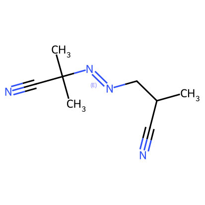 CC(C#N)C/N=N/C(C)(C)C#N